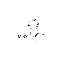 COC1C(C)=C(C)c2ccccc21